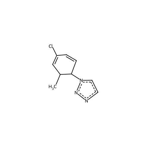 CC1C=C(Cl)C=CC1n1ccnn1